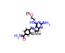 CCOCCNc1nc(N)nc2ccn(Cc3ccc(C(N)=O)cc3OC)c12